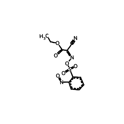 CCOC(=O)/C(C#N)=N\OS(=O)(=O)c1ccccc1N=O